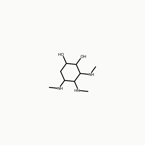 CNC1CC(O)C(O)C(NC)C1NC